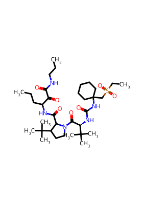 CCCNC(=O)C(=O)C(CCC)NC(=O)C1C(C(C)(C)C)CCN1C(=O)[C@@H](NC(=O)NC1(CS(=O)(=O)CC)CCCCC1)C(C)(C)C